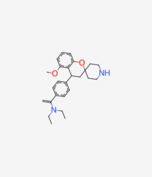 C=C(c1ccc(C2CC3(CCNCC3)Oc3cccc(OC)c32)cc1)N(CC)CC